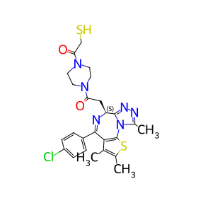 Cc1sc2c(c1C)C(c1ccc(Cl)cc1)=N[C@@H](CC(=O)N1CCN(C(=O)CS)CC1)c1nnc(C)n1-2